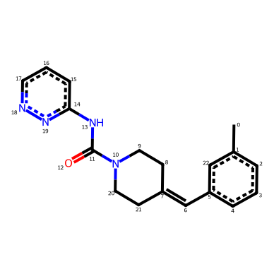 Cc1cccc(C=C2CCN(C(=O)Nc3cccnn3)CC2)c1